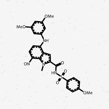 COc1ccc(S(=O)(=O)NC(=O)c2cc3c(Nc4cc(OC)cc(OC)c4)ccc(N=O)c3n2C)cc1